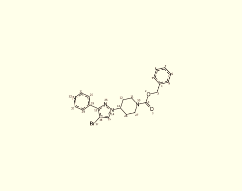 O=C(OCc1ccccc1)N1CCC(n2cc(Br)c(-c3ccncc3)n2)CC1